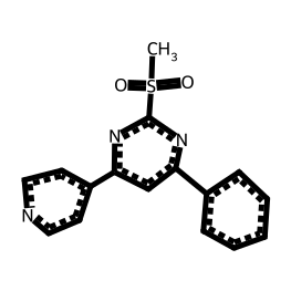 CS(=O)(=O)c1nc(-c2ccccc2)cc(-c2ccncc2)n1